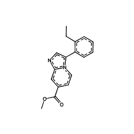 CCc1ccccc1-c1cnc2cc(C(=O)OC)ccn12